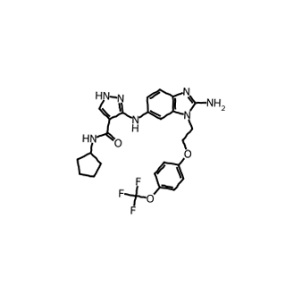 Nc1nc2ccc(Nc3n[nH]cc3C(=O)NC3CCCC3)cc2n1CCOc1ccc(OC(F)(F)F)cc1